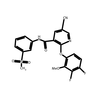 COc1c(Oc2ncc(C#N)cc2C(=O)Nc2cccc(S(C)(=O)=O)c2)ccc(F)c1F